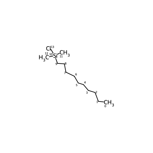 CCCCCCCCCC[Si](C)(C)Cl